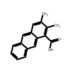 Cc1cc2cc3ccccc3cc2c(C(=O)O)c1C